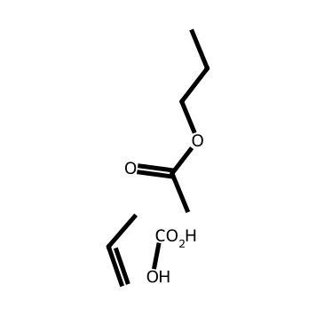 C=CC.CCCOC(C)=O.O=C(O)O